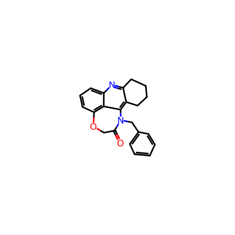 O=C1COc2cccc3nc4c(c(c23)N1Cc1ccccc1)CCCC4